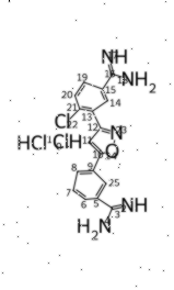 Cl.Cl.N=C(N)c1cccc(-c2cc(-c3cc(C(=N)N)ccc3Cl)no2)c1